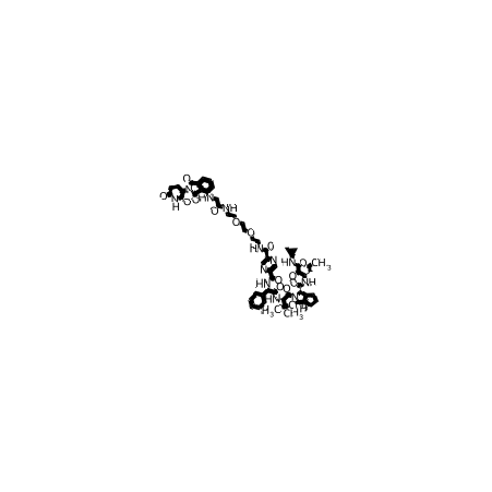 CCC[C@H](NC(=O)[C@@H]1C2CCC[C@H]2CN1C(=O)[C@@H](NC(=O)[C@@H](NC(=O)c1cnc(C(=O)NCCOCCOCCNC(=O)CNc2cccc3c2C(=O)N(C2CCC(=O)NC2=O)C3=O)cn1)C1CCCCC1)C(C)(C)C)C(=O)C(=O)NC1CC1